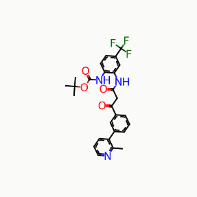 Cc1ncccc1-c1cccc(C(=O)CC(=O)Nc2cc(C(F)(F)F)ccc2NC(=O)OC(C)(C)C)c1